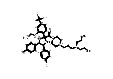 CCCN(CCC)CCCN1CCN(C(=O)C2(c3ccc(C(F)(F)F)cc3OCC)NC(c3ccc(Cl)cc3)C(c3ccc(Cl)cc3)N2)CC1